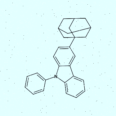 c1ccc(-n2c3ccccc3c3cc(C45CC6CC(CC(C6)C4)C5)ccc32)cc1